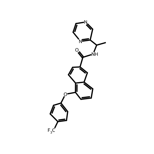 CC(NC(=O)c1ccc2c(Oc3ccc(C(F)(F)F)cc3)cccc2c1)c1cnccn1